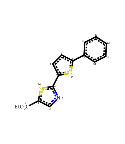 CCOC(=O)c1cnc(-c2ccc(-c3ccccc3)s2)s1